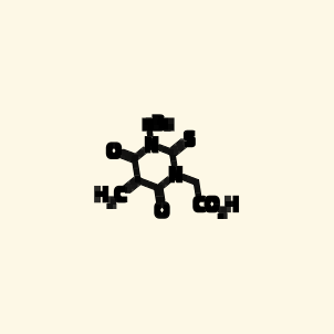 C=C1C(=O)N(CCCC)C(=S)N(CC(=O)O)C1=O